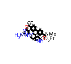 CCOC(=O)[C@@H]1CC2(CCN(c3cc(O[C@H](c4ccc(-c5ccc(C(=O)NC)cc5)cc4)C(F)(F)F)nc(N)n3)CC2)CN1